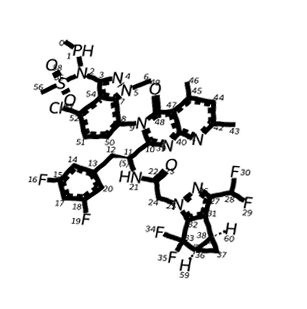 CPN(c1nn(C)c2c(-n3c([C@H](Cc4cc(F)cc(F)c4)NC(=O)Cn4nc(C(F)F)c5c4C(F)(F)[C@@H]4C[C@H]54)nc4nc(C)cc(C)c4c3=O)ccc(Cl)c12)S(C)(=O)=O